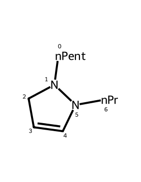 [CH2]CCCCN1CC=CN1CCC